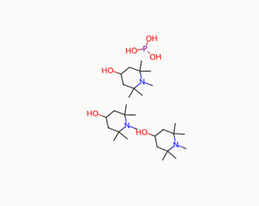 CN1C(C)(C)CC(O)CC1(C)C.CN1C(C)(C)CC(O)CC1(C)C.CN1C(C)(C)CC(O)CC1(C)C.OP(O)O